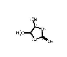 CC1OC(=O)OC1C#N